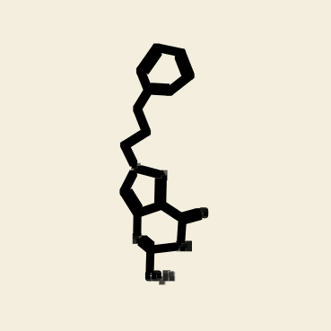 CCOC(=O)c1nc2cn(CCCc3ccccc3)nc2c(=O)[nH]1